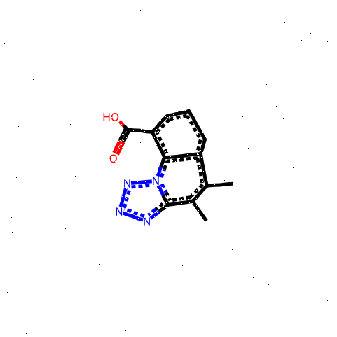 Cc1c(C)c2nnnn2c2c(C(=O)O)cccc12